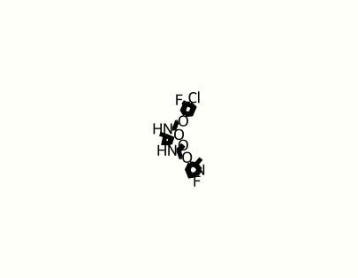 Cc1nc(F)ccc1OCC(=O)NC1=CC(C)(NC(=O)COc2ccc(Cl)c(F)c2)C1